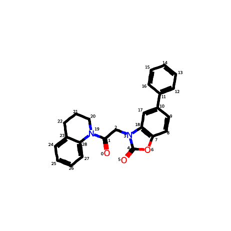 O=C(Cn1c(=O)oc2ccc(-c3ccccc3)cc21)N1CCCc2ccccc21